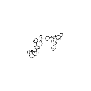 Cc1cccc(F)c1NC(=O)c1cc2c(s1)-c1sccc1N(C(=O)c1ccc(NC(=O)c3cc4c(nc3N3CC5(CCOCC5)C3)CCC4)cc1)CC2